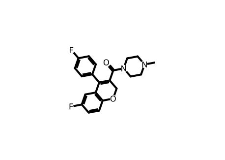 CN1CCN(C(=O)C2=C(c3ccc(F)cc3)c3cc(F)ccc3OC2)CC1